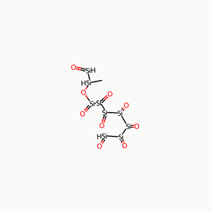 C[SiH](O[Si](=O)[Si](=O)[Si](=O)[Si](=O)[Si](=O)[Si](=O)[SiH]=O)[SiH]=O